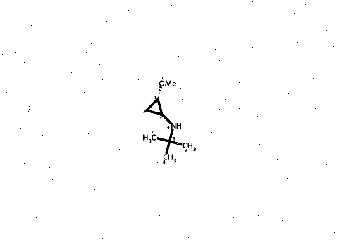 CO[C@H]1CC1NC(C)(C)C